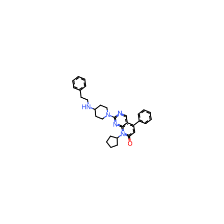 O=c1cc(-c2ccccc2)c2cnc(N3CCC(NCCc4ccccc4)CC3)nc2n1C1CCCC1